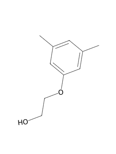 Cc1cc(C)cc(OCCO)c1